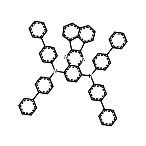 c1ccc(-c2ccc(N(c3ccc(-c4ccccc4)cc3)c3ccc(N(c4ccc(-c5ccccc5)cc4)c4ccc(-c5ccccc5)cc4)c4nc5c(nc34)-c3cccc4cccc-5c34)cc2)cc1